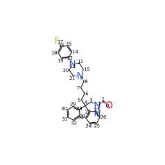 O=CNCC(CCCCN1CCN(c2ccc(F)cc2)CC1)(c1ccccc1)c1ccccc1